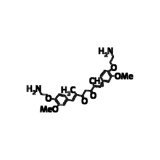 COc1cc(/C=C(\C)C(=O)CC(=O)/C(C)=C/c2ccc(OCCN)c(OC)c2)ccc1OCCN